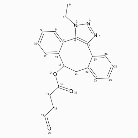 CCn1nnc2c1-c1ccccc1C(OC(=O)CCC=O)Cc1ccccc1-2